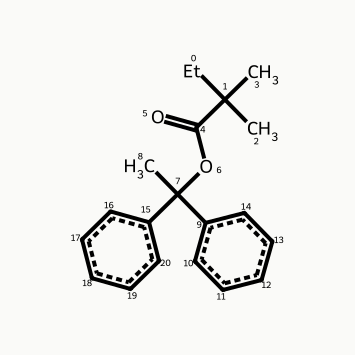 CCC(C)(C)C(=O)OC(C)(c1ccccc1)c1ccccc1